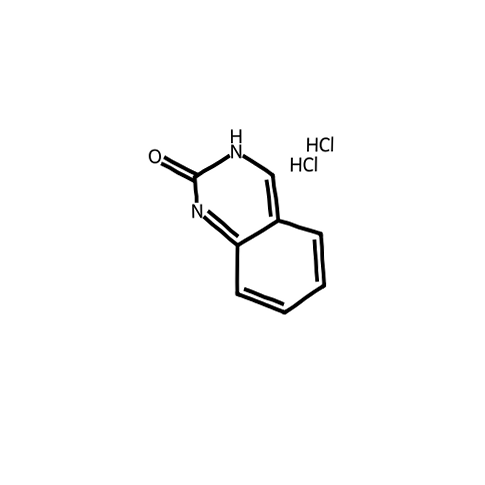 Cl.Cl.O=c1nc2ccccc2c[nH]1